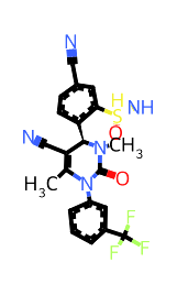 CC1=C(C#N)[C@@H](c2ccc(C#N)cc2[SH](=N)=O)N(C)C(=O)N1c1cccc(C(F)(F)F)c1